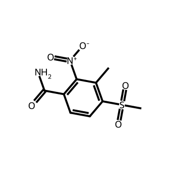 Cc1c(S(C)(=O)=O)ccc(C(N)=O)c1[N+](=O)[O-]